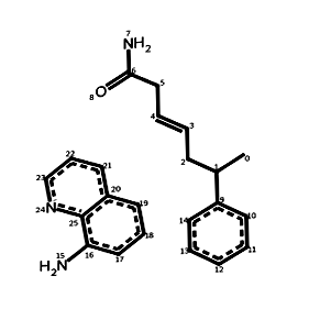 CC(CC=CCC(N)=O)c1ccccc1.Nc1cccc2cccnc12